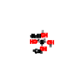 O[Si](O)(O)O.[Co].[NaH]